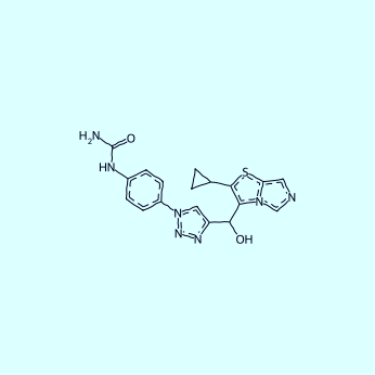 NC(=O)Nc1ccc(-n2cc(C(O)c3c(C4CC4)sc4cncn34)nn2)cc1